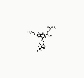 CCCc1cc2c(N3CCn4c(nnc4C(F)(F)F)C3)nc(N(C)CCC(N)=O)nc2s1